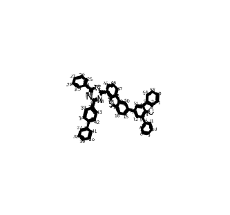 C1=Cc2oc3c(-c4ccccc4)cc(-c4ccc5sc6c(-c7nc(-c8ccccc8)nc(-c8ccc(-c9ccccc9)cc8)n7)cccc6c5c4)cc3c2CC1